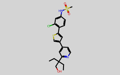 CCC(CC)(CO)c1cc(-c2csc(-c3ccc(NS(C)(=O)=O)cc3Cl)c2)ccn1